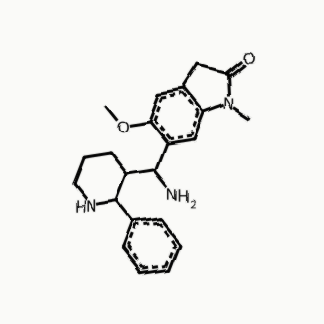 COc1cc2c(cc1C(N)C1CCCNC1c1ccccc1)N(C)C(=O)C2